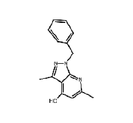 Cc1cc(O)c2c(C)nn(Cc3ccccc3)c2n1